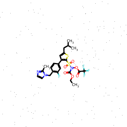 CCOC(=O)N(OC(=O)C(F)(F)F)S(=O)(=O)c1sc(CC(C)C)cc1-c1ccc(Cn2ccnc2C)c(F)c1